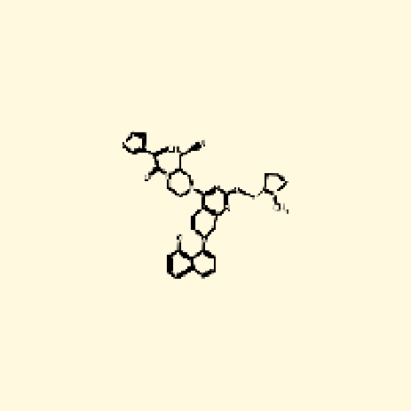 C=C(C(=O)N1CCN(c2nc(OC[C@@H]3CCCN3C)nc3c2CCN(c2cccc4cccc(Cl)c24)C3)C[C@@H]1CC#N)c1ccsc1